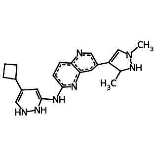 CC1NN(C)C=C1c1cnc2ccc(NC3=CC(C4CCC4)=CNN3)nc2c1